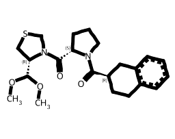 COC(OC)[C@@H]1CSCN1C(=O)[C@@H]1CCCN1C(=O)[C@@H]1CCc2ccccc2C1